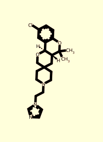 CC1(C)Oc2ccc(Cl)cc2[C@@H]2OCC3(CCN(CCn4ccnc4)CC3)C[C@H]21